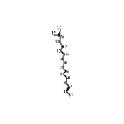 [CH2]C=CCCCCCCCCCCCCC(C)C